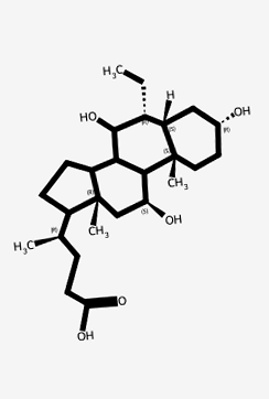 CC[C@H]1C(O)C2C3CCC([C@H](C)CCC(=O)O)[C@@]3(C)C[C@H](O)C2[C@@]2(C)CC[C@@H](O)C[C@@H]12